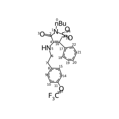 CCCCN1C(=O)C(NCCc2ccc(OC(F)(F)F)cc2)=C(c2ccccc2)S1(=O)=O